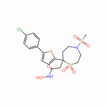 CS(=O)(=O)N1CCC(CC(=O)NO)(c2ccc(-c3ccc(Cl)cc3)s2)S(=O)(=O)CC1